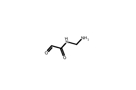 NCNC(=O)C=O